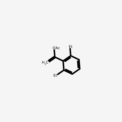 C=C(OC(C)=O)c1c(CC)cccc1CC